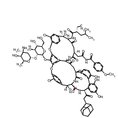 CC[C@H](CC(C)C)C(=O)N[C@H]1C(=O)C[C@@H](CC(=O)NC(=O)c2ccc(OC)cc2)C(=O)N[C@H]2C(=O)C[C@H]3C(=O)N[C@H](C(=O)N[C@H](C(=O)CC4C5CC6CC(C5)CC4C6)c4cc(O)cc(O)c4-c4cc3ccc4O)[C@H](O)c3ccc(c(Cl)c3)Oc3cc2cc(c3O[C@@H]2O[C@H](CO)[C@@H](O)[C@H](O)[C@H]2O[C@H]2C[C@](C)(N)[C@H](O)[C@H](C)O2)Oc2ccc(cc2Cl)[C@H]1O